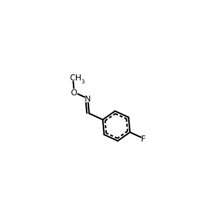 CO/N=C/c1ccc(F)cc1